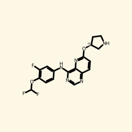 Fc1cc(Nc2ncnc3ccc(O[C@H]4CCNC4)nc23)ccc1OC(F)F